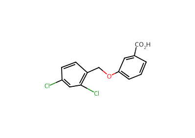 O=C(O)c1cccc(OCc2ccc(Cl)cc2Cl)c1